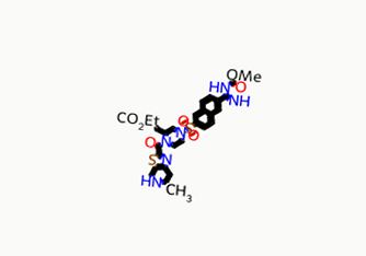 CCOC(=O)CC1CN(S(=O)(=O)c2ccc3cc(C(=N)NC(=O)OC)ccc3c2)CCN1C(=O)c1nc2c(s1)CNC(C)C2